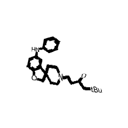 CC(C)(C)CC(=O)CCN1CCC2(CC1)COc1ccc(Nc3ccccc3)cc12